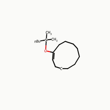 CCCC[Si](C)(C)OC1=CCCCCCCCCC1